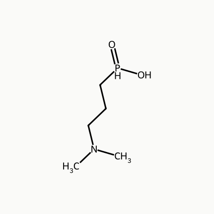 CN(C)CCC[PH](=O)O